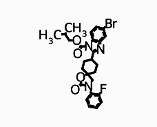 CC(C)COC(=O)n1c(C2CCC3(CC2)CN(c2ccccc2F)C(=O)O3)nc2cc(Br)ccc21